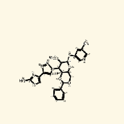 COC1C(n2cc(-c3csc(O)n3)nn2)[C@H]2OC(c3ccccc3)OCC2O[C@@H]1Sc1cncc(C#N)c1